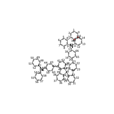 c1ccc(-c2ccccc2N(c2ccccc2)c2ccc(-c3ccc4c(c3)C3(c5ccccc5-4)c4ccccc4-c4c(-c5ccc(N(c6ccccc6)c6ccccc6)cc5)cccc43)cc2)cc1